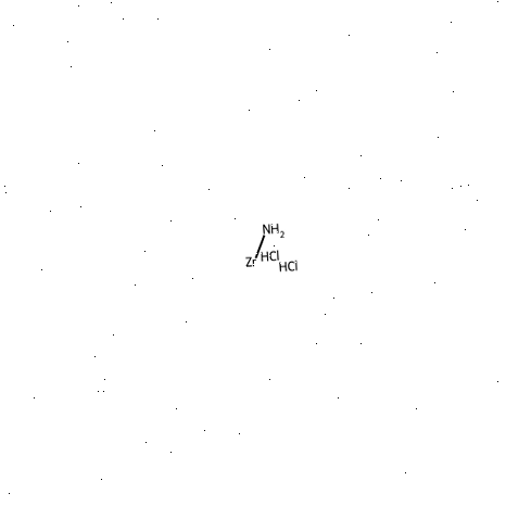 Cl.Cl.[NH2][Zr]